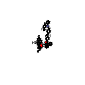 CCC(=O)C(CC(C)N1CCCCC1)(c1ccccc1)c1ccccc1.CCC[C@@H]1O[C@@H]2C[C@H]3[C@@H]4CCC5=CC(=O)C=C[C@]5(C)[C@H]4[C@@H](O)C[C@]3(C)[C@]2(C(=O)CO)O1.OCCN1CCN(CC/C=C2/c3ccccc3Sc3ccc(C(F)(F)F)cc32)CC1